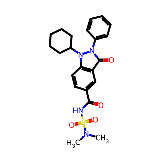 CN(C)S(=O)(=O)NC(=O)c1ccc2c(c1)c(=O)n(-c1ccccc1)n2C1CCCCC1